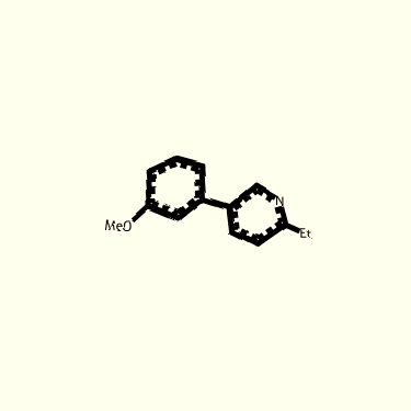 CCc1ccc(-c2cccc(OC)c2)cn1